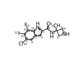 CC1(NC(=O)c2cc3cc(Cl)c(I)c(F)c3[nH]2)CNC1